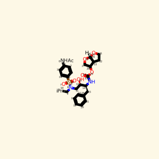 CC(=O)Nc1ccc(S(=O)(=O)N(CC(C)C)C[C@@H](O)[C@H](Cc2ccccc2)NC(=O)OC2CO[C@H]3OCCC23)cc1